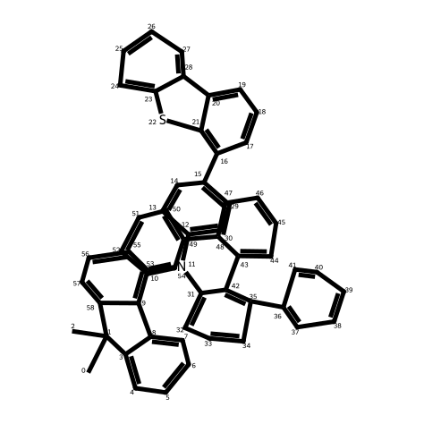 CC1(C)c2ccccc2-c2c(N(c3ccc(-c4cccc5c4sc4ccccc45)cc3)c3cccc(-c4ccccc4)c3-c3ccccc3-c3ccccc3)cccc21